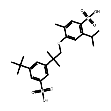 Cc1cc(S(=O)(=O)O)c(C(C)C)cc1OCC(C)(C)c1cc(C(C)(C)C)cc(S(=O)(=O)O)c1